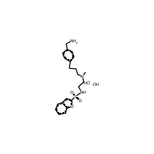 CN(CCCc1ccc(CN)cc1)CCNS(=O)(=O)c1cc2ccccc2o1.Cl.Cl